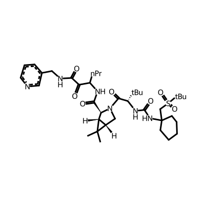 CCCC(NC(=O)[C@@H]1[C@@H]2[C@H](CN1C(=O)[C@@H](NC(=O)NC1(CS(=O)(=O)C(C)(C)C)CCCCC1)C(C)(C)C)C2(C)C)C(=O)C(=O)NCc1cccnc1